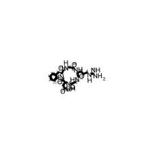 N=C(N)NCCCC1NC(=O)CNC(=O)[C@H](Cc2ccccc2)NC(=O)C(CC(=O)O)NC(=O)CNC1=O